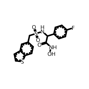 O=C(NO)C(NS(=O)(=O)Cc1ccc2sccc2c1)c1ccc(F)cc1